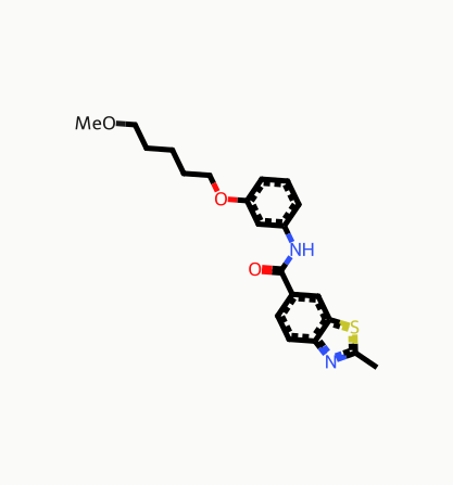 COCCCCCOc1cccc(NC(=O)c2ccc3nc(C)sc3c2)c1